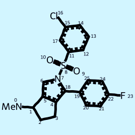 CNC1CCc2c1cn(S(=O)(=O)c1cccc(Cl)c1)c2-c1ccc(F)cc1